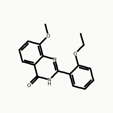 CCOc1ccccc1-c1nc2c(OC)cccc2c(=O)[nH]1